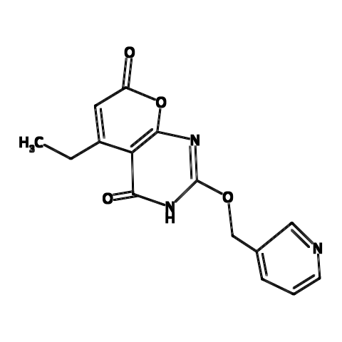 CCc1cc(=O)oc2nc(OCc3cccnc3)[nH]c(=O)c12